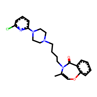 CC1=COc2ccccc2C(=O)N1CCCCN1CCN(c2cccc(Cl)n2)CC1